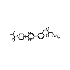 CC(C)C(=O)N1CCN(c2ncc(-c3cccc(CN(C)C(=O)CN)c3)cn2)CC1